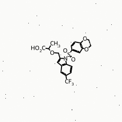 CC(OCc1cc2cc(C(F)(F)F)ccc2n1S(=O)(=O)c1ccc2c(c1)OCCO2)C(=O)O